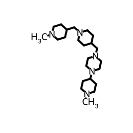 CN1CCC(CN2CCC(CN3CCN(C4CCN(C)CC4)CC3)CC2)CC1